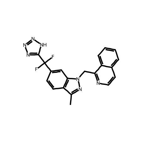 Cc1nn(Cc2nccc3ccccc23)c2cc(C(F)(F)c3nnn[nH]3)ccc12